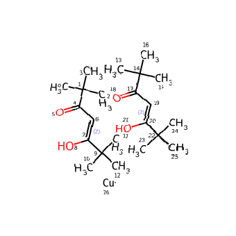 CC(C)(C)C(=O)/C=C(\O)C(C)(C)C.CC(C)(C)C(=O)/C=C(\O)C(C)(C)C.[Cu]